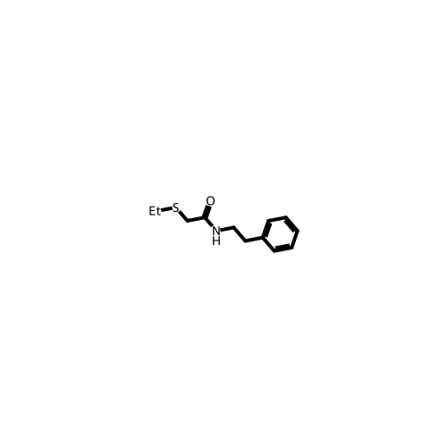 CCSCC(=O)NCCc1ccccc1